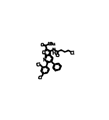 CC(C)(C)C(=O)c1oc2nc(-c3ccc(Cl)cc3Cl)c(-c3ccccc3)cc2c1NC(=O)CCCCl